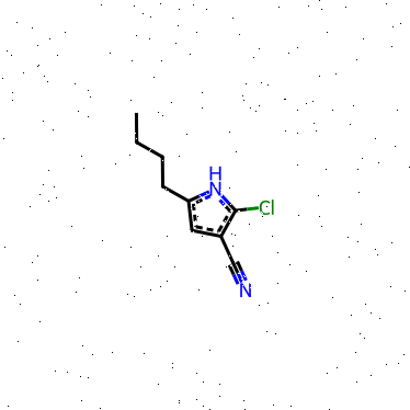 CCCCc1cc(C#N)c(Cl)[nH]1